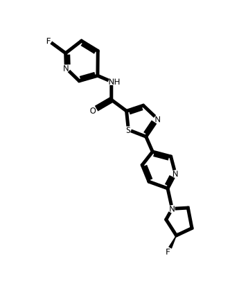 O=C(Nc1ccc(F)nc1)c1cnc(-c2ccc(N3CC[C@@H](F)C3)nc2)s1